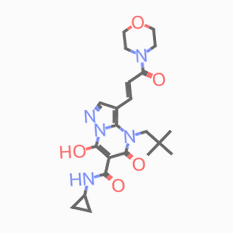 CC(C)(C)Cn1c(=O)c(C(=O)NC2CC2)c(O)n2ncc(/C=C/C(=O)N3CCOCC3)c12